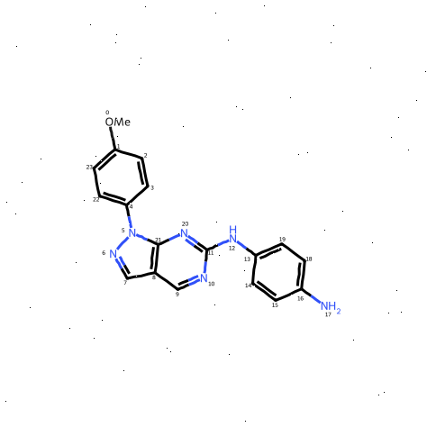 COc1ccc(-n2ncc3cnc(Nc4ccc(N)cc4)nc32)cc1